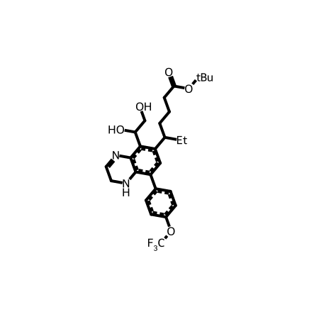 CCC(CCCC(=O)OC(C)(C)C)c1cc(-c2ccc(OC(F)(F)F)cc2)c2c(c1C(O)CO)N=CCN2